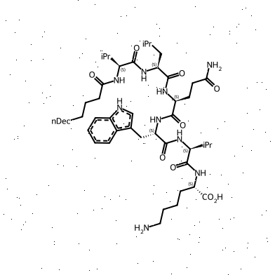 CCCCCCCCCCCCCC(=O)N[C@H](C(=O)N[C@@H](CC(C)C)C(=O)N[C@@H](CCC(N)=O)C(=O)N[C@@H](Cc1c[nH]c2ccccc12)C(=O)N[C@H](C(=O)N[C@@H](CCCCN)C(=O)O)C(C)C)C(C)C